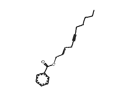 CCCCCC#CC/C=C/COC(=O)c1ccccc1